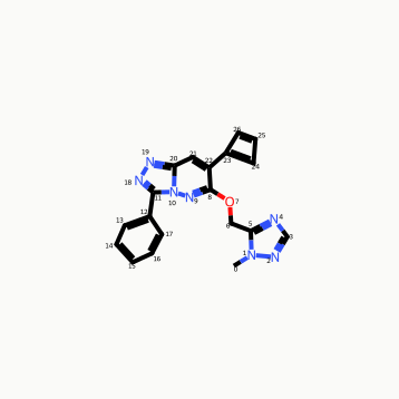 Cn1ncnc1COc1nn2c(-c3ccccc3)nnc2cc1C1=CC=C1